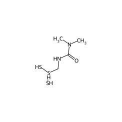 CN(C)C(=O)NC[SH](S)S